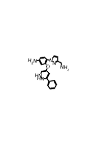 NCc1ccn(-c2ccc(N)cc2OC2=CNNC(c3ccccc3)=C2)n1